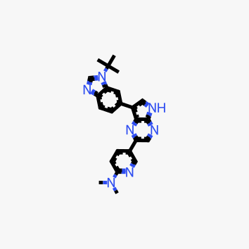 CN(C)c1ccc(-c2cnc3[nH]cc(-c4ccc5ncn(C(C)(C)C)c5c4)c3n2)cn1